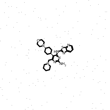 Nc1nc(CN2CCCCC2)c([C@H]2CC[C@H](N3CCOCC3)CC2)c(Nc2nc3cccnc3s2)n1